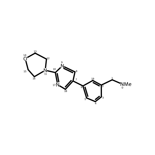 CNCc1cccc(-c2cnc(N3CCOCC3)nc2)c1